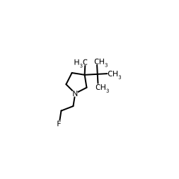 CC(C)(C)C1(C)CCN(CCF)C1